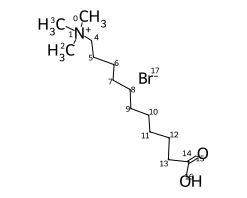 C[N+](C)(C)CCCCCCCCCCC(=O)O.[Br-]